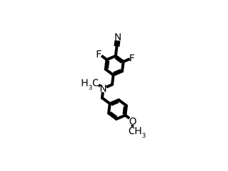 COc1ccc(CN(C)Cc2cc(F)c(C#N)c(F)c2)cc1